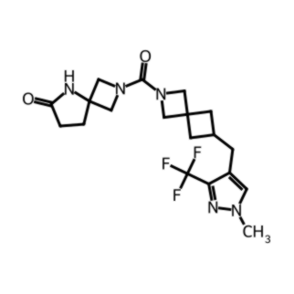 Cn1cc(CC2CC3(C2)CN(C(=O)N2CC4(CCC(=O)N4)C2)C3)c(C(F)(F)F)n1